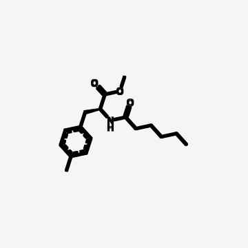 CCCCCC(=O)N[C@@H](Cc1ccc(C)cc1)C(=O)OC